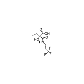 CCC(O)(C(=O)O)C(=O)NCCC(F)(F)F